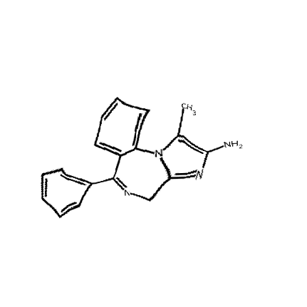 Cc1c(N)nc2n1-c1ccccc1C(c1ccccc1)=NC2